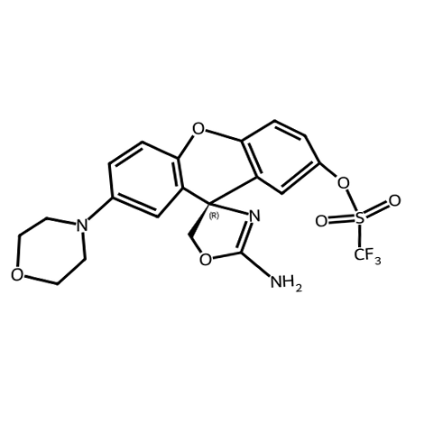 NC1=N[C@@]2(CO1)c1cc(OS(=O)(=O)C(F)(F)F)ccc1Oc1ccc(N3CCOCC3)cc12